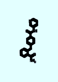 NC(=O)c1ccccc1Cc1ccc(C(=O)Nc2cccnc2)cc1